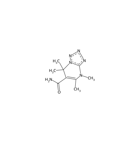 CC1=C(C(N)=O)C(C)(C)n2nnnc2N1C